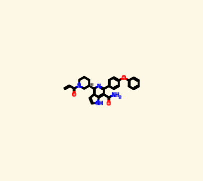 C=CC(=O)N1CCC[C@@H](c2nc(-c3ccc(Oc4ccccc4)cc3)c(C(N)=O)c3[nH]ccc23)C1